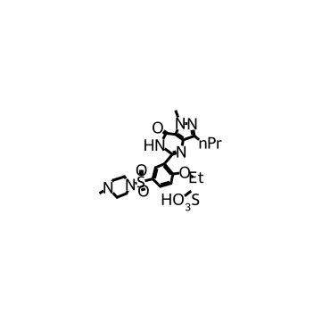 CCCc1nn(C)c2c(=O)[nH]c(-c3cc(S(=O)(=O)N4CCN(C)CC4)ccc3OCC)nc12.CS(=O)(=O)O